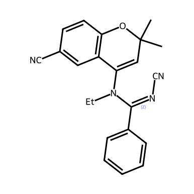 CCN(C1=CC(C)(C)Oc2ccc(C#N)cc21)/C(=N\C#N)c1ccccc1